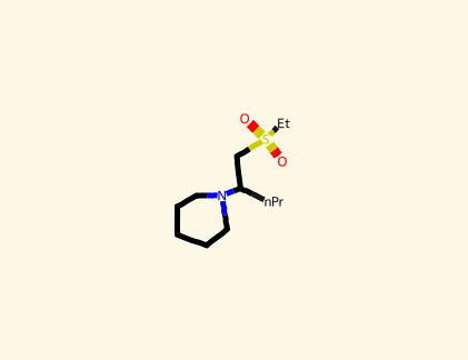 CCCC(CS(=O)(=O)CC)N1CCCCC1